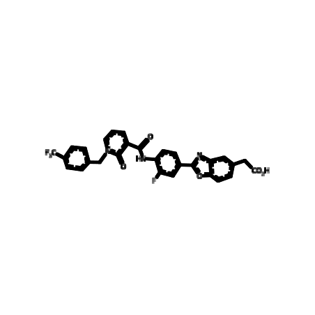 O=C(O)Cc1ccc2oc(-c3ccc(NC(=O)c4cccn(Cc5ccc(C(F)(F)F)cc5)c4=O)c(F)c3)nc2c1